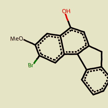 COc1cc2c(O)cc3c(c2cc1Br)-c1ccccc1C3